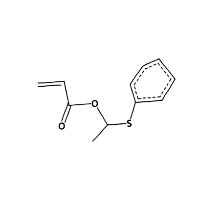 C=CC(=O)OC(C)Sc1ccccc1